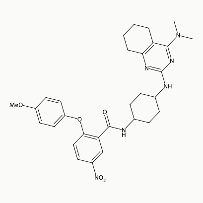 COc1ccc(Oc2ccc([N+](=O)[O-])cc2C(=O)NC2CCC(Nc3nc4c(c(N(C)C)n3)CCCC4)CC2)cc1